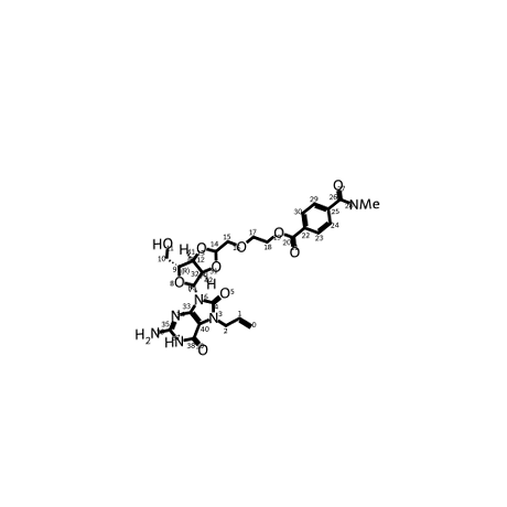 C=CCn1c(=O)n([C@@H]2O[C@H](CO)[C@H]3OC(COCCOC(=O)c4ccc(C(=O)NC)cc4)O[C@H]32)c2nc(N)[nH]c(=O)c21